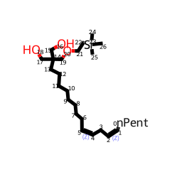 CCCCC/C=C\C/C=C\CCCCCCCCC(CO)(CO)COCC[Si](C)(C)C